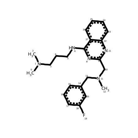 CN(C)CCCNc1nc(CN(C)Cc2cccc(F)c2)nc2ccccc12